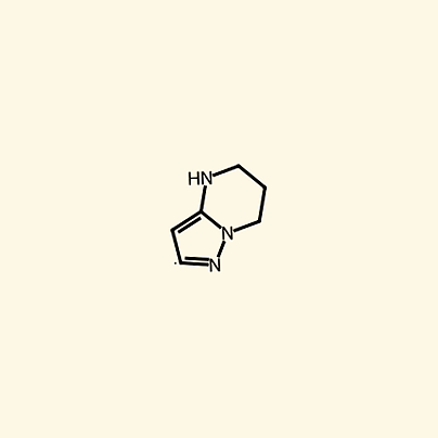 [c]1cc2n(n1)CCCN2